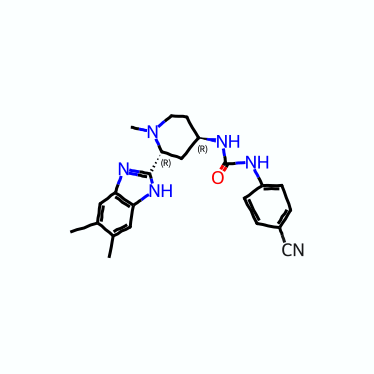 Cc1cc2nc([C@H]3C[C@H](NC(=O)Nc4ccc(C#N)cc4)CCN3C)[nH]c2cc1C